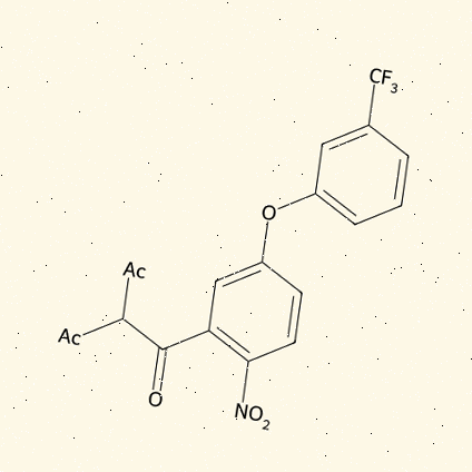 CC(=O)C(C(C)=O)C(=O)c1cc(Oc2cccc(C(F)(F)F)c2)ccc1[N+](=O)[O-]